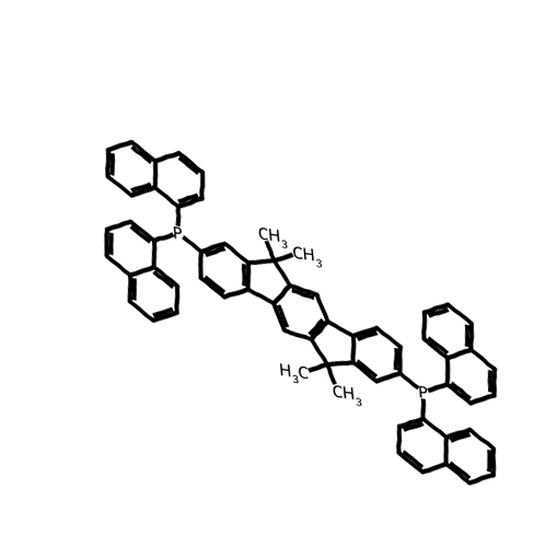 CC1(C)c2cc(P(c3cccc4ccccc34)c3cccc4ccccc34)ccc2-c2cc3c(cc21)-c1ccc(P(c2cccc4ccccc24)c2cccc4ccccc24)cc1C3(C)C